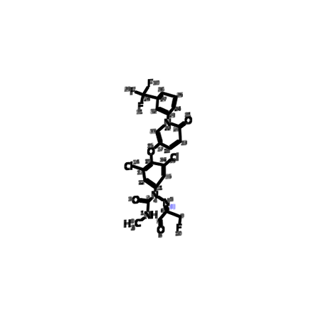 CNC(=O)N(/N=C(\C=O)CF)c1cc(Cl)c(Oc2ccc(=O)n(-c3cccc(C(F)(F)F)c3)c2)c(Cl)c1